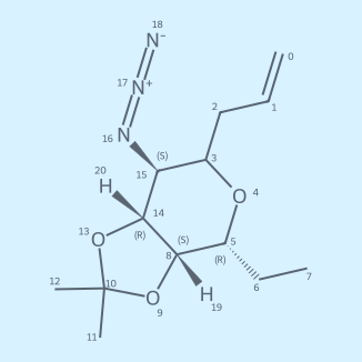 C=CCC1O[C@H](CC)[C@@H]2OC(C)(C)O[C@@H]2[C@H]1N=[N+]=[N-]